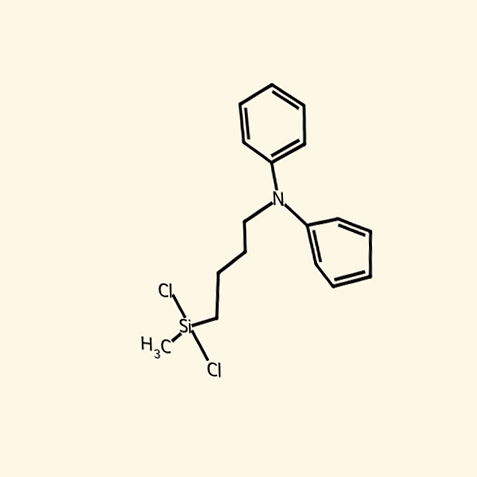 C[Si](Cl)(Cl)CCCCN(c1ccccc1)c1ccccc1